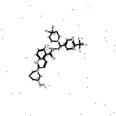 N[C@@H]1CCCN(c2ccc3c(C(=O)NCC(c4cnc(C(F)(F)F)nc4)N4CCC(F)(F)CC4)c(Cl)ccc3n2)C1